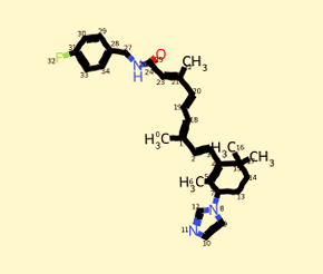 CC(C=CC1=C(C)C(n2ccnc2)CCC1(C)C)=CC=CC(C)=CC(=O)NCc1ccc(F)cc1